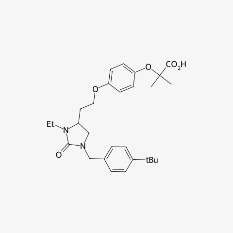 CCN1C(=O)N(Cc2ccc(C(C)(C)C)cc2)CC1CCOc1ccc(OC(C)(C)C(=O)O)cc1